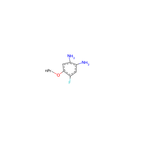 CCCOc1cc(N)c(N)cc1F